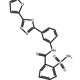 NS(=O)(=O)c1ccccc1C(=O)Nc1cccc(-c2nnc(-c3ccco3)o2)c1